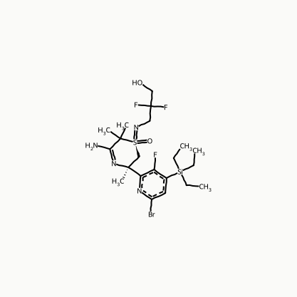 CC[Si](CC)(CC)c1cc(Br)nc([C@]2(C)C[S@](=O)(=NCC(F)(F)CO)C(C)(C)C(N)=N2)c1F